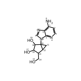 Nc1ccnc2c1ncn2C12CC1C(CO)C(O)C2O